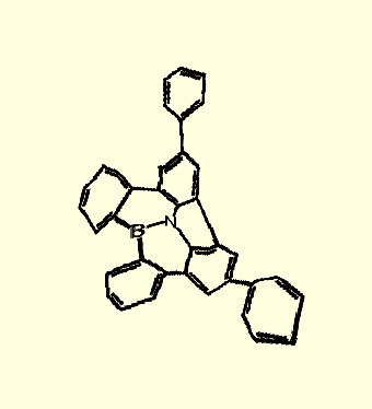 c1ccc(-c2cc3c4c(c2)c2cc(-c5ccccc5)cc5c2n4B(c2ccccc2-3)c2ccccc2-5)cc1